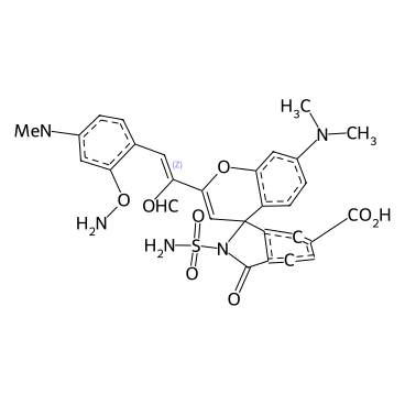 CNc1ccc(/C=C(\C=O)C2=CC3(c4ccc(N(C)C)cc4O2)c2cc(C(=O)O)ccc2C(=O)N3S(N)(=O)=O)c(ON)c1